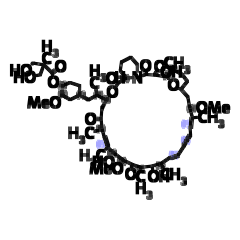 CO[C@H]1CC2CC[C@@H](C)[C@@](O)(O2)C(=O)C(=O)N2CCCC[C@H]2C(=O)O[C@H]([C@H](C)C[C@@H]2CC[C@@H](OC(=O)C(C)(CO)CO)[C@H](OC)C2)CC(=O)[C@H](C)/C=C(\C)[C@@H](O)[C@@H](OC)C(=O)[C@H](C)C(O)[C@H](C)/C=C/C=C/C=C/1C